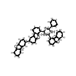 c1ccc(C2=NC(c3cccc4c3oc3ccc(-c5ccc6oc7ccccc7c6c5)cc34)NC(c3cccc4oc5ccccc5c34)N2)cc1